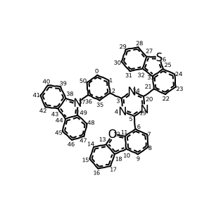 c1cc(-c2nc(-c3cccc4c3oc3ccccc34)nc(-c3cccc4sc5ccccc5c34)n2)cc(-n2c3ccccc3c3ccccc32)c1